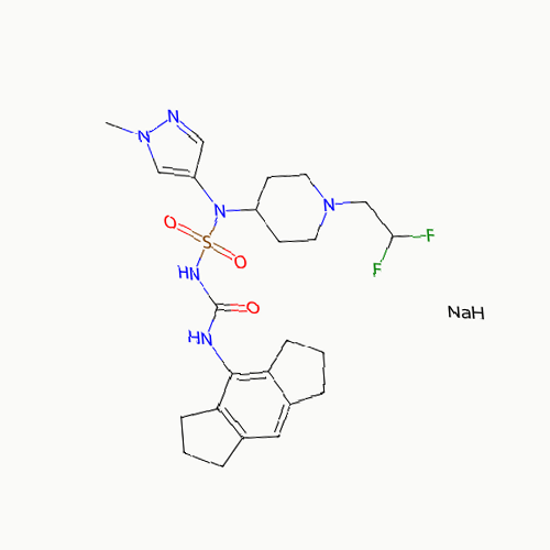 Cn1cc(N(C2CCN(CC(F)F)CC2)S(=O)(=O)NC(=O)Nc2c3c(cc4c2CCC4)CCC3)cn1.[NaH]